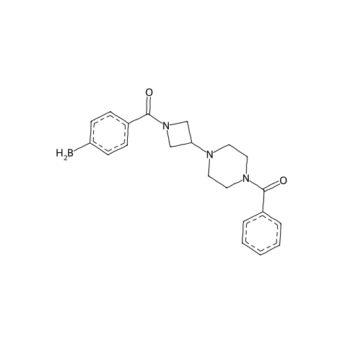 Bc1ccc(C(=O)N2CC(N3CCN(C(=O)c4ccccc4)CC3)C2)cc1